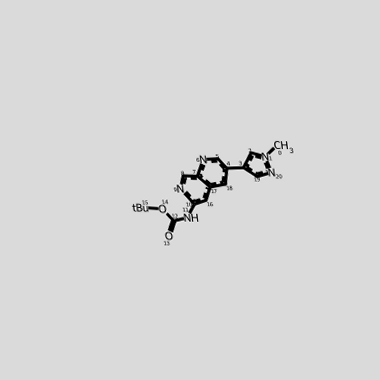 Cn1cc(-c2cnc3cnc(NC(=O)OC(C)(C)C)cc3c2)cn1